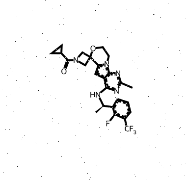 Cc1nc(N[C@H](C)c2cccc(C(F)(F)F)c2F)c2cc3n(c2n1)CCOC31CN(C(=O)C2CC2)C1